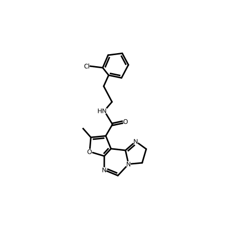 Cc1oc2c(c1C(=O)NCCc1ccccc1Cl)C1=NCCN1C=N2